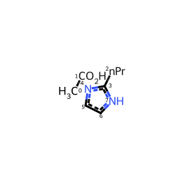 CC(=O)O.CCCc1ncc[nH]1